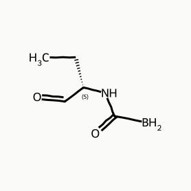 BC(=O)N[C@H](C=O)CC